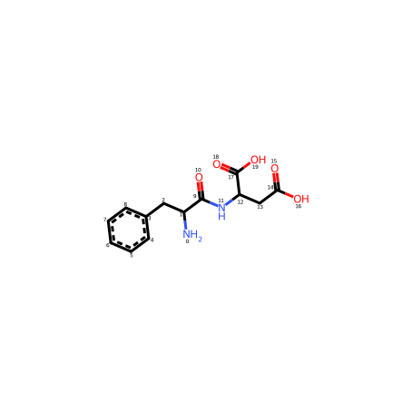 NC(Cc1ccccc1)C(=O)NC(CC(=O)O)C(=O)O